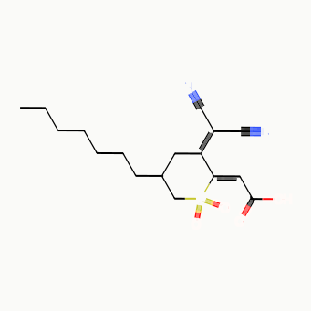 CCCCCCCC1CC(=C(C#N)C#N)/C(=C/C(=O)O)S(=O)(=O)C1